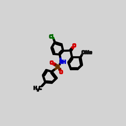 COc1ccccc1C(=O)c1cc(Cl)ccc1NS(=O)(=O)c1ccc(C)cc1